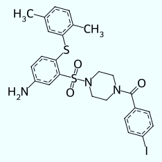 Cc1ccc(C)c(Sc2ccc(N)cc2S(=O)(=O)N2CCN(C(=O)c3ccc(I)cc3)CC2)c1